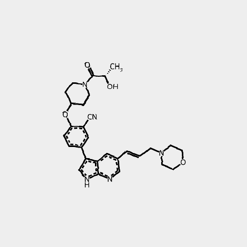 C[C@H](O)C(=O)N1CCC(Oc2ccc(-c3c[nH]c4ncc(/C=C/CN5CCOCC5)cc34)cc2C#N)CC1